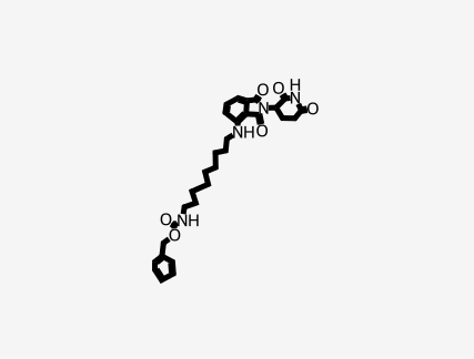 O=C1CCC(N2C(=O)c3cccc(NCCCCCCCCCNC(=O)OCc4ccccc4)c3C2=O)C(=O)N1